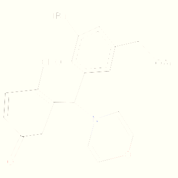 CC(=O)OCc1cc(C(C2=C(C=O)C=CC(=O)C2)N2C=COC=C2)cc(C(C)(C)C)c1